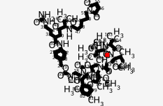 CC[C@H](C)C([C@@H](CC(=O)N1C[C@@H](OC(=O)N(C)CCN(C)C(=O)OCc2ccc(NC(=O)C(CCCNC(N)=O)CC(=O)[C@@H](NC(=O)CCCCCN3C(=O)C=CC3=O)C(C)C)cc2)C[C@H]1[C@H](OC)[C@@H](C)C(=O)NCC(=O)c1ccc(C)cc1C)OC)N(C)C(=O)[C@@H](NC(=O)[C@H](C(C)C)N(C)C)C(C)C